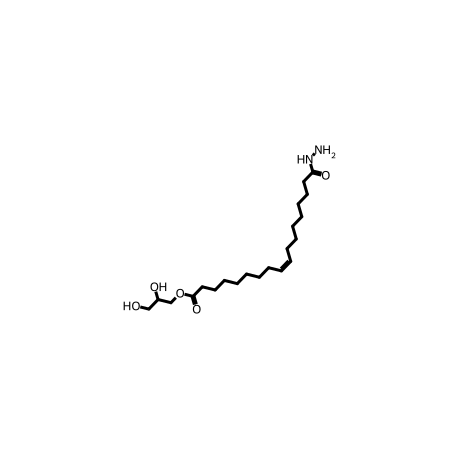 NNC(=O)CCCCCCC/C=C\CCCCCCCC(=O)OCC(O)CO